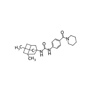 CC12CC3CC4(NC(=O)Nc5ccc(C(=O)N6CCCCC6)cc5)CC(C)(C1)C32C4